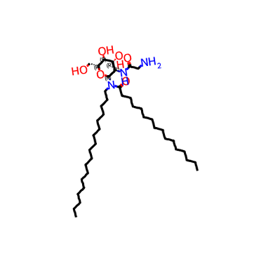 CCCCCCCCCCCCCCCCCCN(C(=O)CCCCCCCCCCCCCCC)[C@@H]1O[C@H](CO)[C@@H](O)[C@H](O)[C@H]1NC(=O)CN